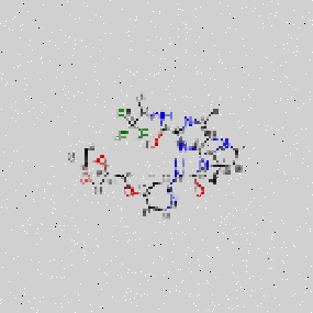 Cc1nc(C(=O)N[C@H](C)C(F)(F)F)nc2c1N1CC[C@@H](C1)N2C(=O)Nc1cc(OC[C@H]2COC(C)(C)O2)ccn1